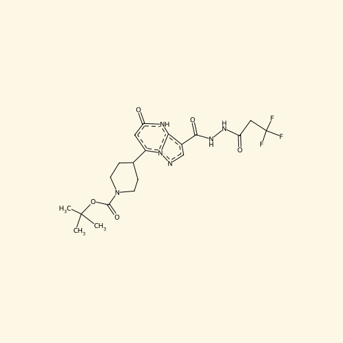 CC(C)(C)OC(=O)N1CCC(c2cc(=O)[nH]c3c(C(=O)NNC(=O)CC(F)(F)F)cnn23)CC1